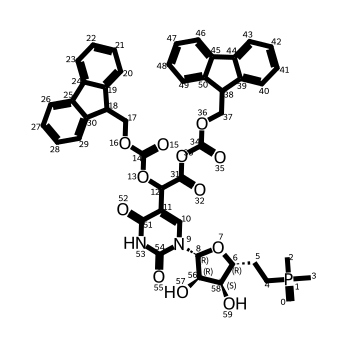 C=P(C)(C)CC[C@H]1O[C@@H](n2cc(C(OC(=O)OCC3c4ccccc4-c4ccccc43)C(=O)OC(=O)OCC3c4ccccc4-c4ccccc43)c(=O)[nH]c2=O)[C@H](O)[C@@H]1O